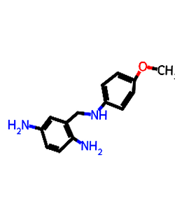 COc1ccc(NCc2cc(N)ccc2N)cc1